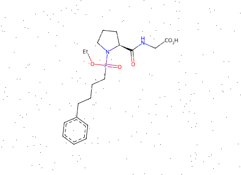 CCOP(=O)(CCCCc1ccccc1)N1CCC[C@H]1C(=O)NCC(=O)O